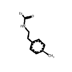 CCC(=O)NCCc1ccc(C)cc1